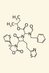 CCC(C)OC(=O)C(N(C=O)Cc1ccccc1)N1C(=O)C(N2C(=O)OC[C@H]2c2cccs2)C1CCc1nccs1